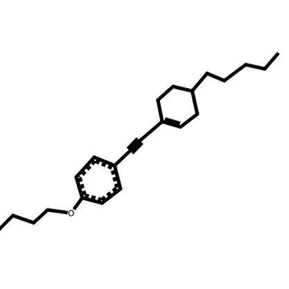 CCCCCC1CC=C(C#Cc2ccc(OCCCC)cc2)CC1